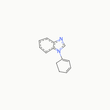 C1=CCCC(n2cnc3ccccc32)=C1